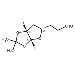 CC1(C)O[C@H]2O[C@@H](CCC=O)C[C@H]2O1